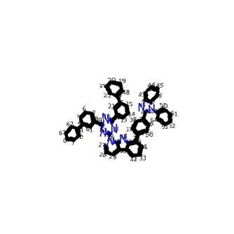 c1ccc(-c2cccc(-c3nc(-c4cccc(-c5ccccc5)c4)nc(-n4cccc5c6cccc(-c7ccc(-c8nc9ccccc9n8-c8ccccc8)cc7)c6nc4-5)n3)c2)cc1